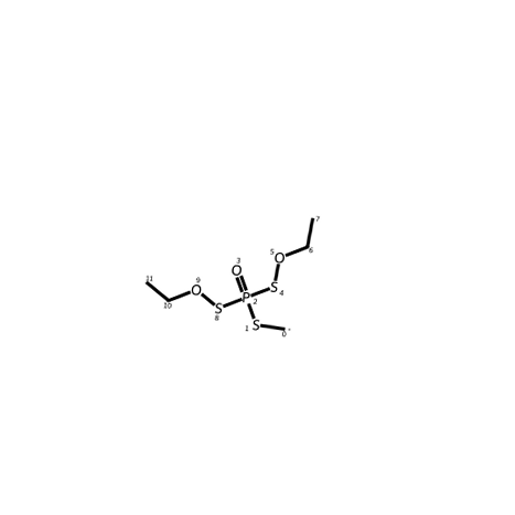 [CH2]SP(=O)(SOCC)SOCC